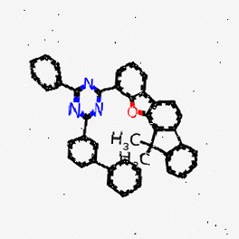 CC1(C)c2ccccc2-c2ccc3c(oc4c(-c5nc(-c6ccccc6)nc(-c6cccc(-c7ccccc7)c6)n5)cccc43)c21